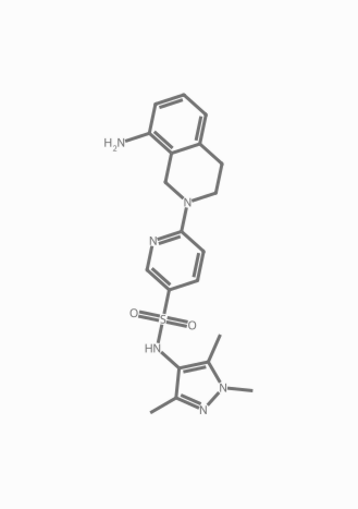 Cc1nn(C)c(C)c1NS(=O)(=O)c1ccc(N2CCc3cccc(N)c3C2)nc1